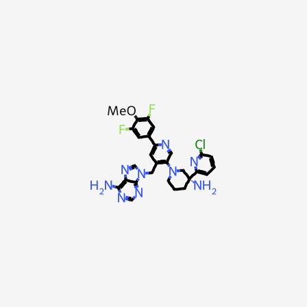 COc1c(F)cc(-c2cc(Cn3cnc4c(N)ncnc43)c(N3CCC[C@](N)(c4cccc(Cl)n4)C3)cn2)cc1F